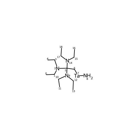 CCN(CC)C([CH2][Ta][NH2])(N(CC)CC)N(CC)CC